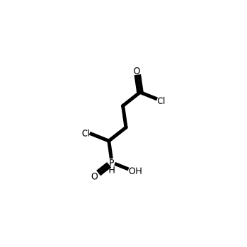 O=C(Cl)CCC(Cl)[PH](=O)O